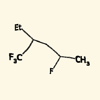 CCC(CC(C)F)C(F)(F)F